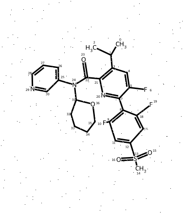 CC(C)c1cc(F)c(-c2c(F)cc(S(C)(=O)=O)cc2F)nc1C(=O)N(c1cccnc1)C1CCCCO1